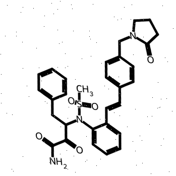 CS(=O)(=O)N(c1ccccc1C=Cc1ccc(CN2CCCC2=O)cc1)C(Cc1ccccc1)C(=O)C(N)=O